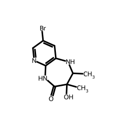 CC1Nc2cc(Br)cnc2NC(=O)C1(C)O